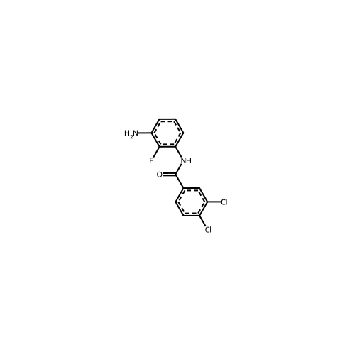 Nc1cccc(NC(=O)c2ccc(Cl)c(Cl)c2)c1F